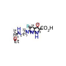 CCOCC1(NCC2CN(c3nc4[nH]cc(C(=O)O)c(=O)c4cc3F)C2)CC1